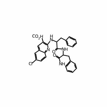 NC(=O)C(Cc1ccccc1)NC(=O)C(Cc1ccccc1)Nc1nc2ccc(Cl)cc2cc1C(=O)O